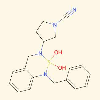 N#CN1CCC(N2Cc3ccccc3N(Cc3ccccc3)S2(O)O)C1